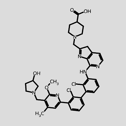 COc1nc(-c2cccc(-c3cccc(Nc4nccc5c4N=C(CN4CCC(C(=O)O)CC4)C5)c3Cl)c2Cl)cc(C)c1CN1CCC(O)C1